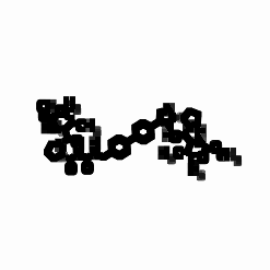 COC(=O)N[C@H](C(=O)N1CCC[C@H]1C(=O)NC(=O)NCc1ccc(-c2ccc(-c3cnc([C@@H]4CCCN4C(=O)[C@@H](NC(=O)OC)C(C)C)[nH]3)cc2)cc1)C(C)C